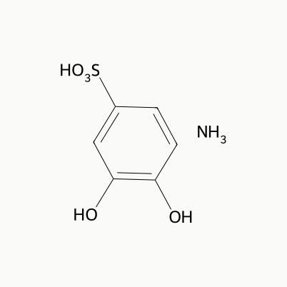 N.O=S(=O)(O)c1ccc(O)c(O)c1